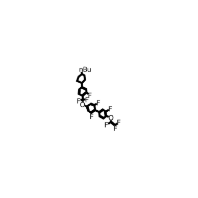 CCCCC1CCC(c2ccc(C(F)(F)Oc3cc(F)c(-c4ccc(OC(F)=C(F)F)c(F)c4)c(F)c3)c(F)c2)CC1